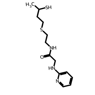 CC(S)CCSCCNC(=O)CNc1ccccn1